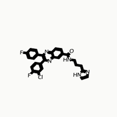 O=C(NCCCc1ncc[nH]1)c1ccc2nc(-c3ccc(F)cc3)c(-c3ccc(F)c(Cl)c3)nc2c1